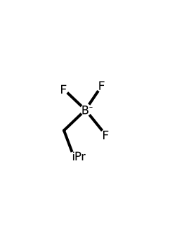 CC(C)C[B-](F)(F)F